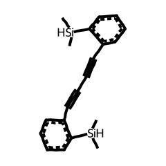 C[SiH](C)c1ccccc1C#CC#Cc1ccccc1[SiH](C)C